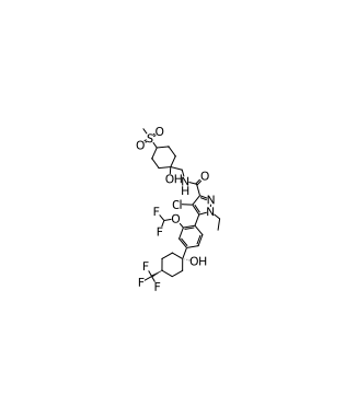 CCn1nc(C(=O)NCC2(O)CCC(S(C)(=O)=O)CC2)c(Cl)c1-c1ccc([C@]2(O)CC[C@H](C(F)(F)F)CC2)cc1OC(F)F